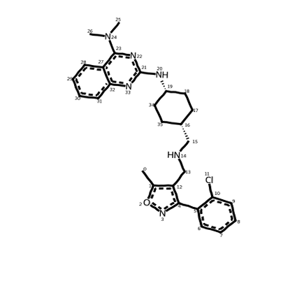 Cc1onc(-c2ccccc2Cl)c1CNC[C@H]1CC[C@@H](Nc2nc(N(C)C)c3ccccc3n2)CC1